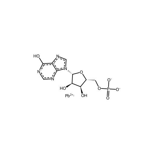 O=P([O-])([O-])OC[C@H]1O[C@@H](n2cnc3c(O)ncnc32)[C@H](O)[C@@H]1O.[Pb+2]